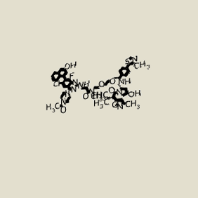 CC(=O)N1CCN(c2nc(NCCC(=O)N(C)CCOCCOC[C@H](NC[C@@H]3C[C@@H](O)CN3C(=O)[C@@H](c3cc(C)no3)C(C)C)c3ccc(-c4scnc4C)cc3)nc3c(F)c(-c4cc(O)cc5ccccc45)c(Cl)cc23)CC1